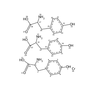 NC(Cc1ccc(O)cc1)C(=O)O.NC(Cc1ccc(O)cc1)C(=O)O.NC(Cc1ccc(O)cc1)C(=O)O.[Cr]